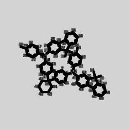 Cc1ccc(N(c2ccc(C3(c4ccc(N(c5ccc(C)cc5)c5ccc6c(c5)C(C)(C)c5ccccc5-6)cc4)CCCCC3)cc2)c2ccc3c(c2)C(C)(C)c2ccccc2-3)cc1